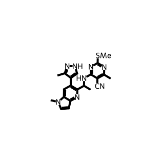 CSc1nc(C)c(C#N)c(NC(C)c2nc3ccn(C)c3cc2-c2c[nH]nc2C)n1